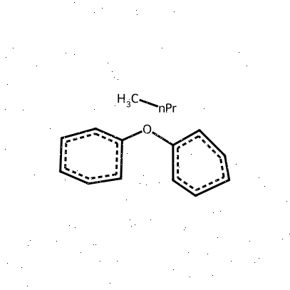 CCCC.c1ccc(Oc2ccccc2)cc1